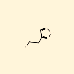 CC(=O)NCCC1=N[N]N=C1